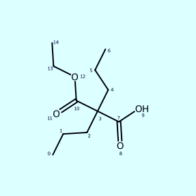 CCCC(CCC)(C(=O)O)C(=O)OCC